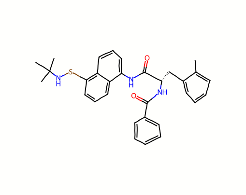 Cc1ccccc1C[C@H](NC(=O)c1ccccc1)C(=O)Nc1cccc2c(SNC(C)(C)C)cccc12